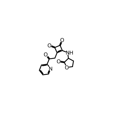 O=C(Cc1c(NC2CCOC2=O)c(=O)c1=O)c1ccccn1